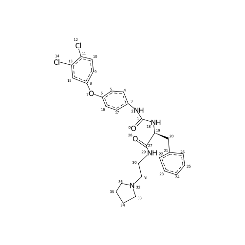 O=C(Nc1ccc(Oc2ccc(Cl)c(Cl)c2)cc1)N[C@@H](Cc1ccccc1)C(=O)NCCN1CCCC1